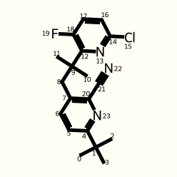 CC(C)(C)c1ccc(CC(C)(C)c2nc(Cl)ccc2F)c(C#N)n1